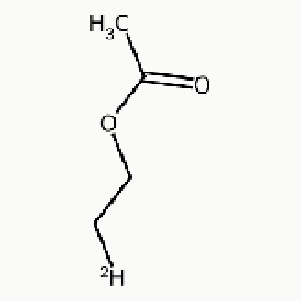 [2H]CCOC(C)=O